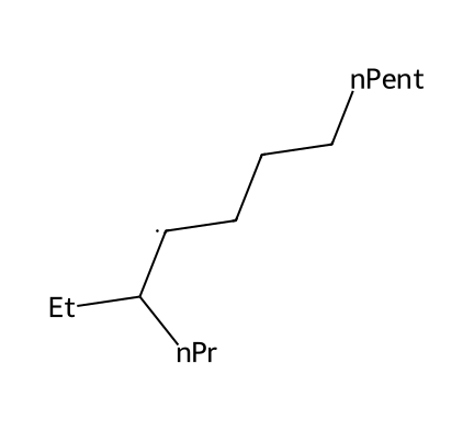 CCCCCCCC[CH]C(CC)CCC